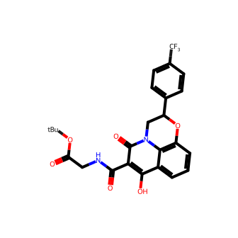 CC(C)(C)OC(=O)CNC(=O)c1c(O)c2cccc3c2n(c1=O)CC(c1ccc(C(F)(F)F)cc1)O3